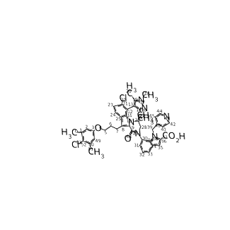 Cc1cc(OCCCc2c3n(c4c(-c5c(C)nn(C)c5C)c(Cl)ccc24)[C@H](C)CN(c2cccc4cc(C(=O)O)n(Cc5ccncc5)c24)C3=O)cc(C)c1Cl